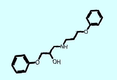 OC(CNCC[CH]Oc1ccccc1)COc1ccccc1